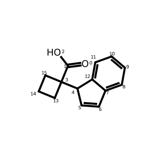 O=C(O)C1(C2C=Cc3ccccc32)CCC1